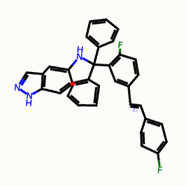 Fc1ccc(/C=C/c2ccc(F)c(C(Nc3ccc4[nH]ncc4c3)(c3ccccc3)c3ccccc3)c2)cc1